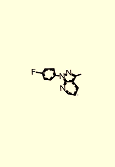 Cc1nn(-c2ccc(F)cc2)c2nc[c]cc12